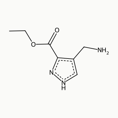 CCOC(=O)c1n[nH]cc1CN